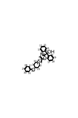 C[N+]1(Cc2cnc(C(O)(c3ccccc3)c3ccccc3)o2)CCC(Oc2ccccc2)CC1